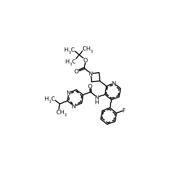 CC(C)c1ncc(C(=O)Nc2c(-c3ccccc3F)ccnc2C2CN(C(=O)OC(C)(C)C)C2)cn1